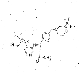 NC(=O)c1cc(-c2ccc(CN3CCO[C@H](C(F)(F)F)C3)cc2)nc2c(N[C@H]3CCCNC3)ncnc12